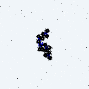 c1ccc(-n2c3ccccc3c3c(-c4cccc5c4c4ccccc4n5-c4cccc(-c5nc(-c6cccc(-n7c8ccccc8c8c(-c9cccc%10c9c9ccccc9n%10-c9ccccc9)cccc87)c6)c6c(n5)-c5cccc7cccc-6c57)c4)cccc32)cc1